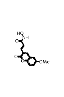 COc1ccc2oc(=O)c(C=CC(=O)NO)cc2c1